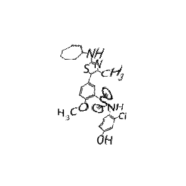 COc1ccc(-c2sc(NC3CCCCCC3)nc2C)cc1S(=O)(=O)Nc1ccc(O)cc1Cl